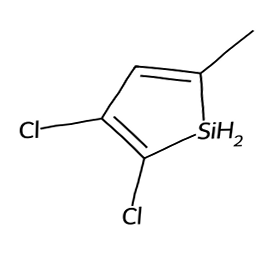 CC1=CC(Cl)=C(Cl)[SiH2]1